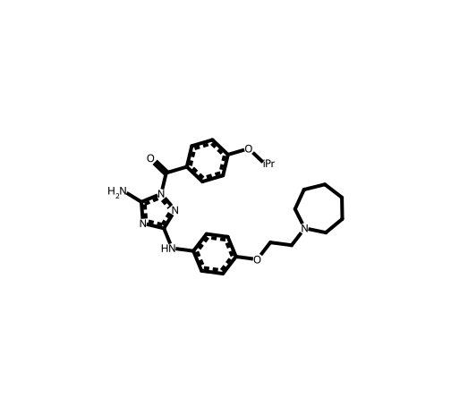 CC(C)Oc1ccc(C(=O)n2nc(Nc3ccc(OCCN4CCCCCC4)cc3)nc2N)cc1